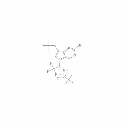 CC(C)(C)Cn1cc([C@H](N[S@@+]([O-])C(C)(C)C)C(F)(F)F)c2ccc(Br)cc21